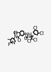 Cc1cc(NC(=O)c2cc(NC(=O)[C@H]3[C@H](c4cc(Cl)cc(Cl)c4)C3(Cl)Cl)ccc2Cl)cnc1F